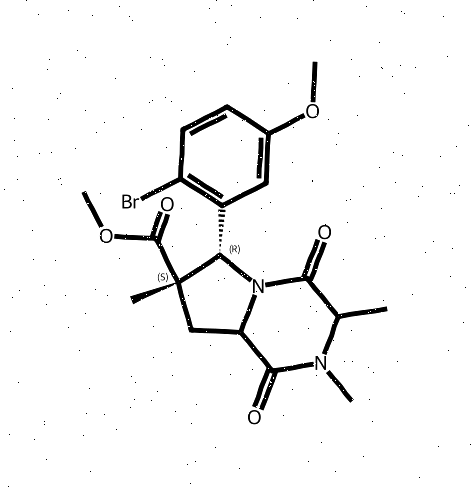 COC(=O)[C@@]1(C)CC2C(=O)N(C)C(C)C(=O)N2[C@H]1c1cc(OC)ccc1Br